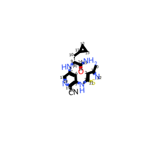 Cc1cc(Nc2cc(N[C@H](CC3CC3)C(N)=O)cnc2C#N)sn1